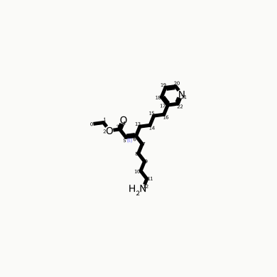 CCOC(=O)/C=C(/CCCCCN)CCCCc1cccnc1